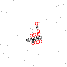 [Mg+2].[O]=[Al][O-].[O]=[Al][O-].[O]=[Al][O-].[O]=[Al][O-].[O]=[Al][O-].[Sc+3]